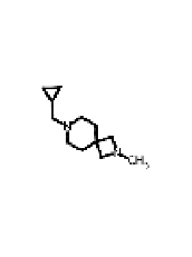 CN1CC2(CCN(CC3CC3)CC2)C1